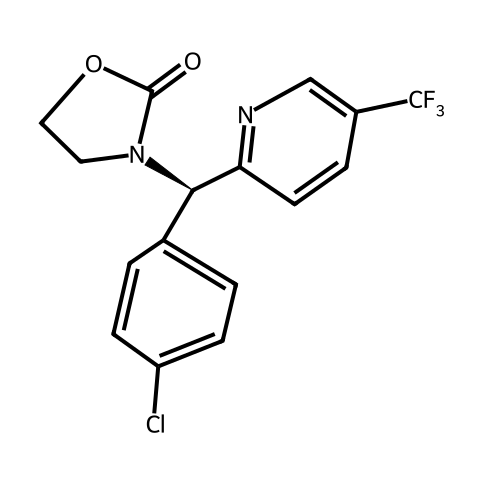 O=C1OCCN1[C@H](c1ccc(Cl)cc1)c1ccc(C(F)(F)F)cn1